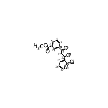 COC(=O)c1cccc(C(=O)CC(=O)c2cccnc2Cl)c1